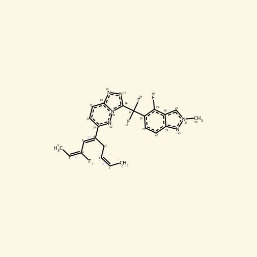 C/C=C\C/C(=C\C(F)=C/C)c1ccc2nnc(C(F)(F)c3ccc4nn(C)cc4c3F)n2n1